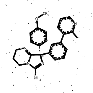 NC1=N[C@](c2ccc(OC(F)(F)F)cc2)(c2cccc(-c3cccnc3F)c2)C2=NCCCN12